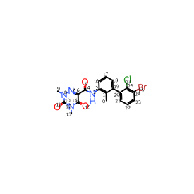 Cc1c(NC(=O)c2nn(C)c(=O)n(C)c2=O)cccc1-c1cccc(Br)c1Cl